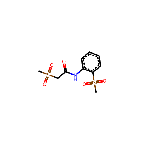 CS(=O)(=O)CC(=O)Nc1ccccc1S(C)(=O)=O